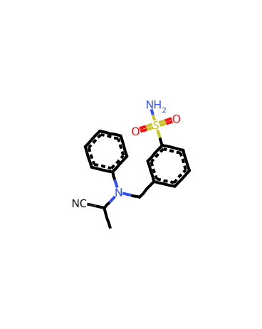 CC(C#N)N(Cc1cccc(S(N)(=O)=O)c1)c1ccccc1